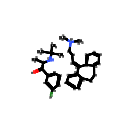 CC(NC(C)(C)C)C(=O)c1cccc(Cl)c1.CN(C)CCC=C1c2ccccc2CCc2ccccc21